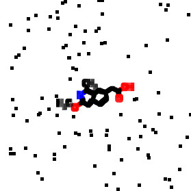 COc1cc2ccc(CC(=O)O)cc2c(C)n1